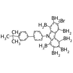 Bc1c(B)c(B)c2c(c1B)c1c(B)c(Br)c(B)c(B)c1n2-c1ccc(-c2ccc(C(C)(C)C)cc2)cc1